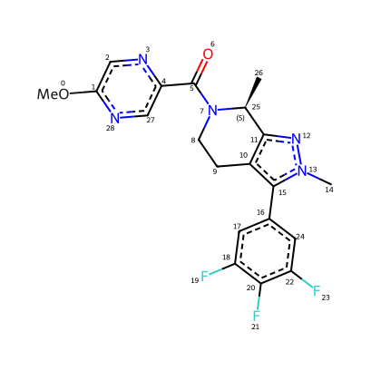 COc1cnc(C(=O)N2CCc3c(nn(C)c3-c3cc(F)c(F)c(F)c3)[C@@H]2C)cn1